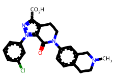 CN1CCc2ccc(N3CCc4c(C(=O)O)nn(-c5cccc(Cl)c5)c4C3=O)cc2C1